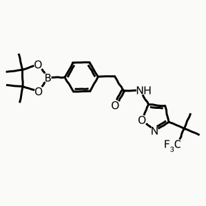 CC1(C)OB(c2ccc(CC(=O)Nc3cc(C(C)(C)C(F)(F)F)no3)cc2)OC1(C)C